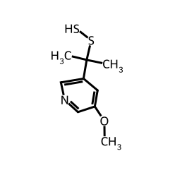 COc1cncc(C(C)(C)SS)c1